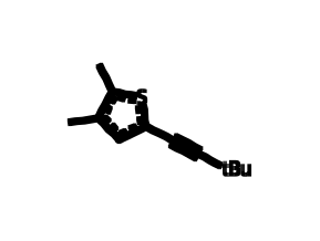 Cc1cc(C#CC(C)(C)C)sc1C